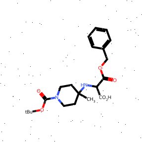 CC1(NC(C(=O)O)C(=O)OCc2ccccc2)CCN(C(=O)OC(C)(C)C)CC1